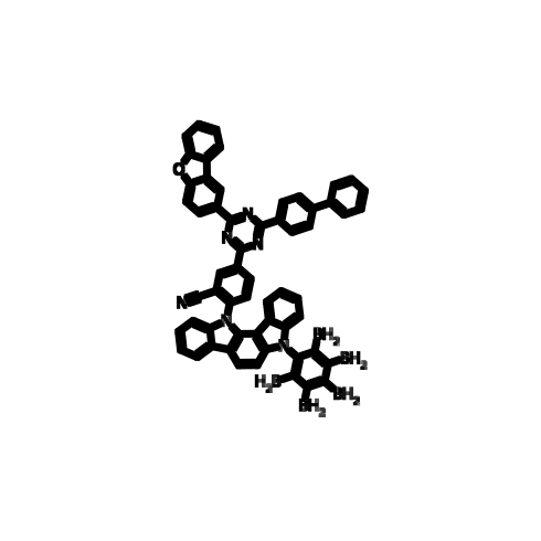 Bc1c(B)c(B)c(-n2c3ccccc3c3c2ccc2c4ccccc4n(-c4ccc(-c5nc(-c6ccc(-c7ccccc7)cc6)nc(-c6ccc7oc8ccccc8c7c6)n5)cc4C#N)c23)c(B)c1B